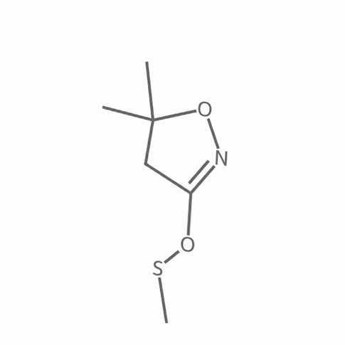 CSOC1=NOC(C)(C)C1